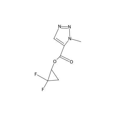 Cn1nncc1C(=O)OC1CC1(F)F